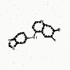 Brc1cc2nccc(Nc3ccc4scnc4c3)c2cc1I